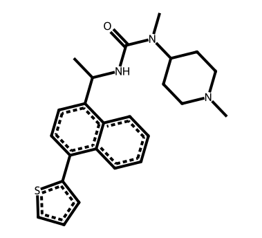 CC(NC(=O)N(C)C1CCN(C)CC1)c1ccc(-c2cccs2)c2ccccc12